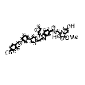 COC(=O)[C@@H]1C[C@@H](O)CN1C(=O)CNC(=O)c1ccc2c(c1)nc(CN1CCC(c3cccc(OCc4ccc(Cl)cc4F)n3)CC1)n2C[C@@H]1CCO1